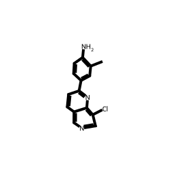 Cc1cc(-c2ccc3cncc(Cl)c3n2)ccc1N